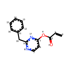 C=CC(=O)Oc1ccnc(Cc2ccccc2)n1